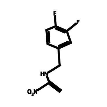 C=C(NCc1ccc(F)c(F)c1)[N+](=O)[O-]